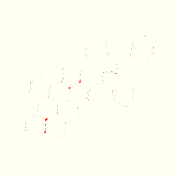 c1ccc(-n2c3ccccc3c3c2c2ccccc2n3-c2ccc3c(c2)Sc2ccccc2B3c2c(-c3ccccn3)cccc2-c2ccccn2)cc1